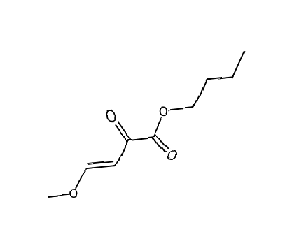 CCCCOC(=O)C(=O)/C=C/OC